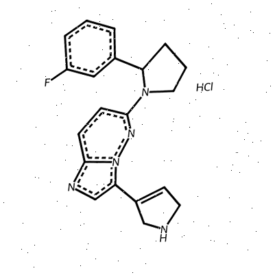 Cl.Fc1cccc(C2CCCN2c2ccc3ncc(C4=CCNC4)n3n2)c1